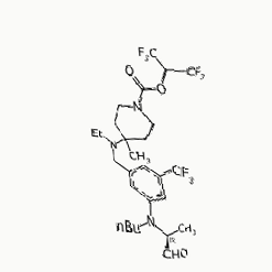 CCCCN(c1cc(CN(CC)C2(C)CCN(C(=O)OC(C(F)(F)F)C(F)(F)F)CC2)cc(C(F)(F)F)c1)[C@@H](C)C=O